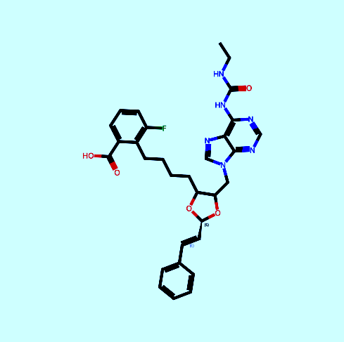 CCNC(=O)Nc1ncnc2c1ncn2CC1O[C@@H](/C=C/c2ccccc2)OC1CCCCc1c(F)cccc1C(=O)O